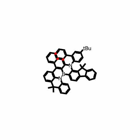 CC(C)(C)c1ccc(N2c3cc4ccccc4c4c3B(c3ccc5c(c32)C(C)(C)c2ccccc2-5)N2c3ccccc3C(C)(C)c3cccc-4c32)c(-c2ccccc2)c1